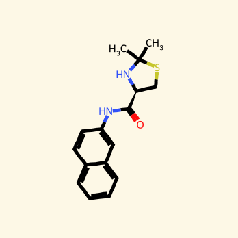 CC1(C)N[C@H](C(=O)Nc2ccc3ccccc3c2)CS1